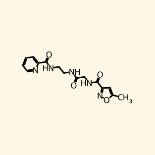 Cc1cc(C(=O)NCC(=O)NCCNC(=O)c2ccccn2)no1